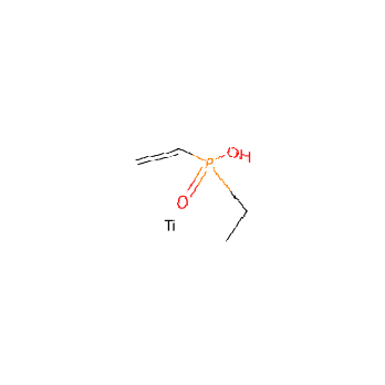 C=CP(=O)(O)CC.[Ti]